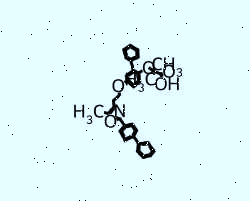 Cc1oc(-c2ccc(-c3ccccc3)cc2)nc1CCOc1ccc(OC(C)(C)C(=O)O)c(-c2ccccc2)c1